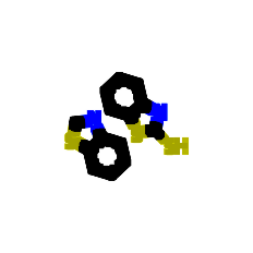 Sc1nc2ccccc2s1.c1ccc2scnc2c1